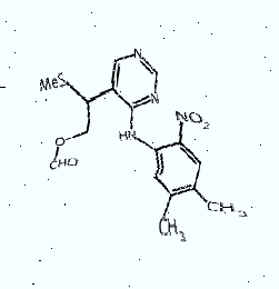 CSC(COC=O)c1cncnc1Nc1cc(C)c(C)cc1[N+](=O)[O-]